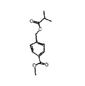 COC(=O)c1ccc(COC(=O)C(C)C)cc1